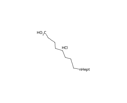 CCCCCCCCCCCCCCC(=O)O.Cl